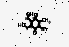 CC1=C(C(C)C)C(=O)C(CO)=C(CO)C1=O